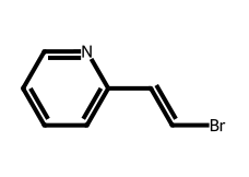 BrC=Cc1ccccn1